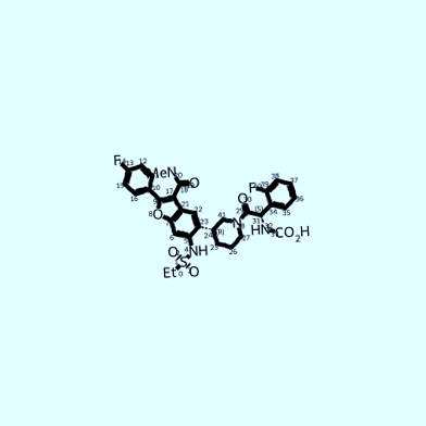 CCS(=O)(=O)Nc1cc2oc(-c3ccc(F)cc3)c(C(=O)NC)c2cc1[C@H]1CCCN(C(=O)[C@@H](NC(=O)O)c2ccccc2F)C1